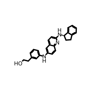 OCCc1cccc(Nc2ccc3nc(N[C@@H]4CCc5ccccc54)ccc3c2)c1